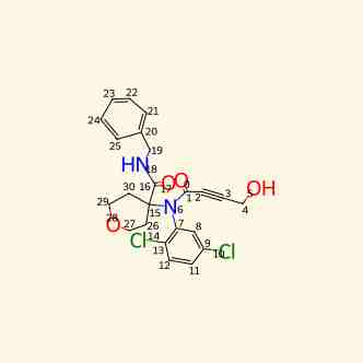 O=C(C#CCO)N(c1cc(Cl)ccc1Cl)C1(C(=O)NCc2ccccc2)CCOCC1